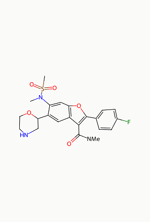 CNC(=O)c1c(-c2ccc(F)cc2)oc2cc(N(C)S(C)(=O)=O)c(C3CNCCO3)cc12